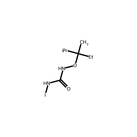 CCC(C)(ONC(=O)NI)C(C)C